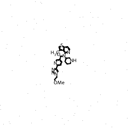 COCCn1cc(-c2ccc(C(=O)N(c3nccc4scc(C)c34)[C@@H]3CCCNC3)cn2)nn1